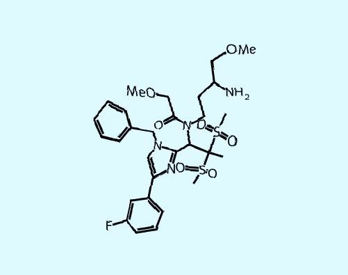 COCC(=O)N(CCC(N)COC)C(c1nc(-c2cccc(F)c2)cn1Cc1ccccc1)C(C)(S(C)(=O)=O)S(C)(=O)=O